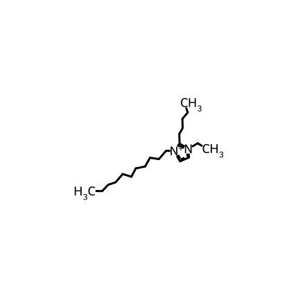 CCCCCCCCCCC[n+]1ccn(CC)c1CCCCC